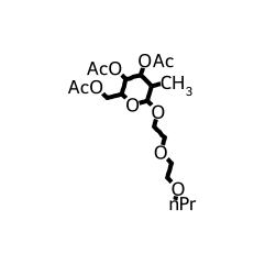 CCCOCCOCCOC1OC(COC(C)=O)C(OC(C)=O)C(OC(C)=O)C1C